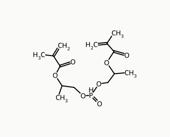 C=C(C)C(=O)OC(C)CO[PH](=O)OCC(C)OC(=O)C(=C)C